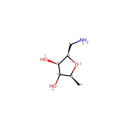 C[C@@H]1O[C@H](CN)[C@H](O)C1O